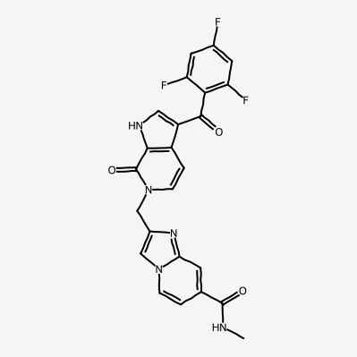 CNC(=O)c1ccn2cc(Cn3ccc4c(C(=O)c5c(F)cc(F)cc5F)c[nH]c4c3=O)nc2c1